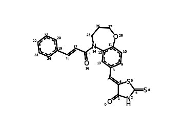 O=C1NC(=S)S/C1=C\c1ccc2c(c1)N(C(=O)/C=C/c1ccccc1)CCCO2